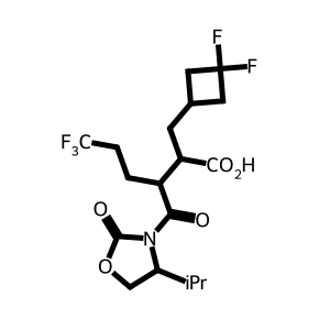 CC(C)C1COC(=O)N1C(=O)C(CCC(F)(F)F)C(CC1CC(F)(F)C1)C(=O)O